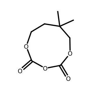 CC1(C)CCOC(=O)OC(=O)OC1